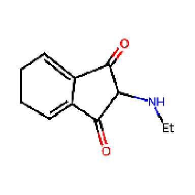 CCNC1C(=O)C2=CCCC=C2C1=O